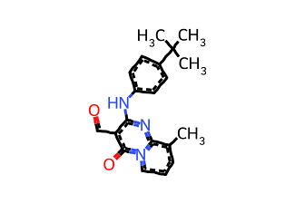 Cc1cccn2c(=O)c(C=O)c(Nc3ccc(C(C)(C)C)cc3)nc12